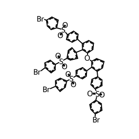 O=S(=O)(c1ccc(Br)cc1)c1ccc(-c2cccc(Oc3cccc(-c4ccc(S(=O)(=O)c5ccc(Br)cc5)cc4)c3-c3ccc(S(=O)(=O)c4ccc(Br)cc4)cc3)c2-c2ccc(S(=O)(=O)c3ccc(Br)cc3)cc2)cc1